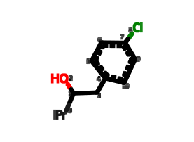 CC(C)C(O)Cc1ccc(Cl)cc1